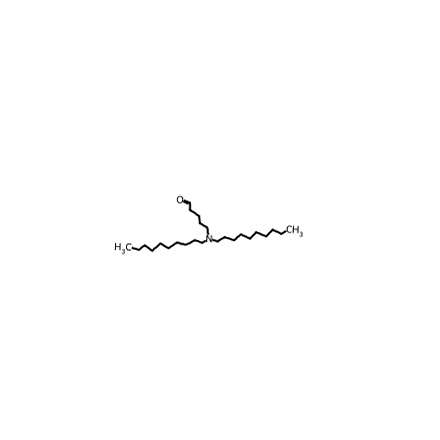 CCCCCCCCCCN(CCCCC=O)CCCCCCCCCC